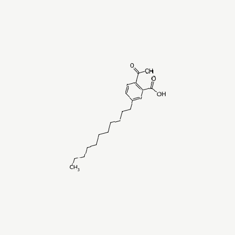 CCCCCCCCCCCc1ccc(C(=O)O)c(C(=O)O)c1